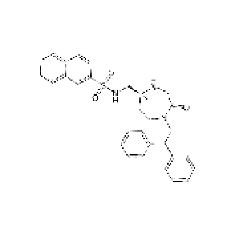 O=C1CN[C@H](CNS(=O)(=O)c2ccc3ccccc3c2)CCN1CC(c1ccccc1)c1ccccc1